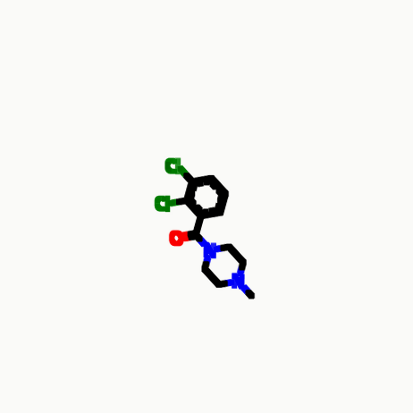 CN1CCN(C(=O)c2cccc(Cl)c2Cl)CC1